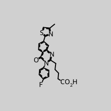 Cc1csc(-c2ccc3c(=O)n(-c4ccc(F)cc4)c(CCCCC(=O)O)nc3c2)n1